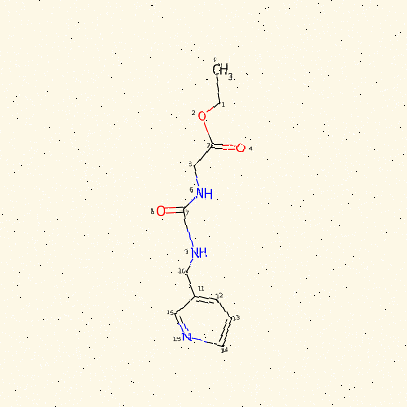 CCOC(=O)CNC(=O)NCc1cccnc1